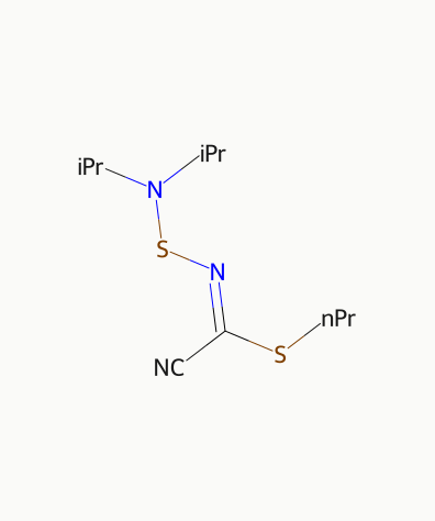 CCCSC(C#N)=NSN(C(C)C)C(C)C